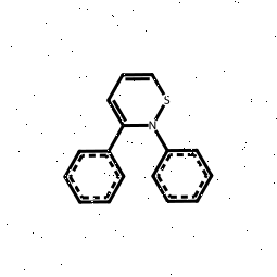 C1=CSN(c2ccccc2)C(c2ccccc2)=C1